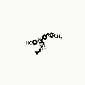 CN1CCN(Cc2ccc(-c3nn(C4CCC(O)CC4)c4nc(NCCC5CC5)ncc34)cc2)CC1